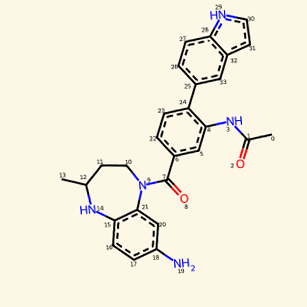 CC(=O)Nc1cc(C(=O)N2CCC(C)Nc3ccc(N)cc32)ccc1-c1ccc2[nH]ccc2c1